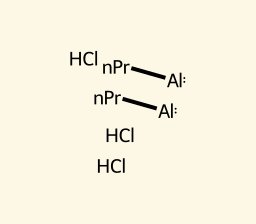 CC[CH2][Al].CC[CH2][Al].Cl.Cl.Cl